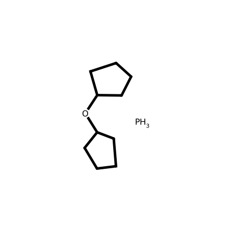 C1CCC(OC2CCCC2)C1.P